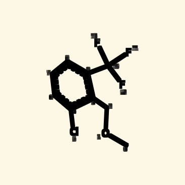 COCc1c(Cl)cccc1C(F)(F)F